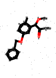 COC(=O)C(OC(C)(C)C)c1cc(OCc2ccccc2)ccc1C